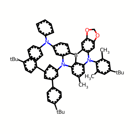 Cc1cc2c3c(c1)N(c1c(C)cc(C(C)(C)C)cc1C)c1cc4c(cc1B3c1ccc(N(c3ccccc3)c3ccccc3)cc1N2c1cc(-c2ccc(C(C)(C)C)cc2)cc(-c2ccc(C(C)(C)C)cc2)c1)OCO4